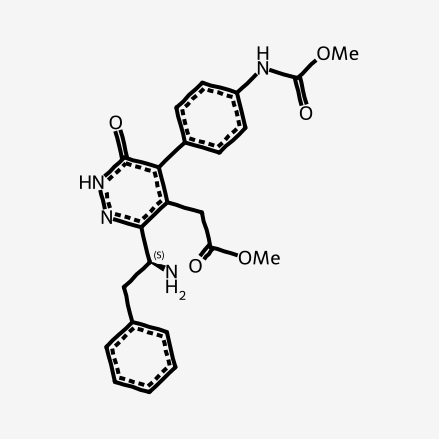 COC(=O)Cc1c([C@@H](N)Cc2ccccc2)n[nH]c(=O)c1-c1ccc(NC(=O)OC)cc1